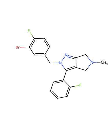 CN1Cc2nn(Cc3ccc(F)c(Br)c3)c(-c3ccccc3F)c2C1